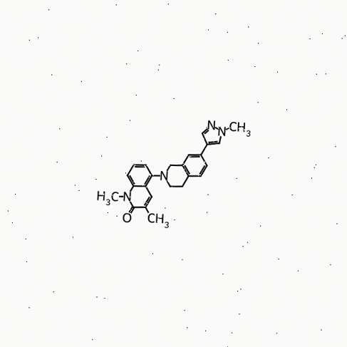 Cc1cc2c(N3CCc4ccc(-c5cnn(C)c5)cc4C3)cccc2n(C)c1=O